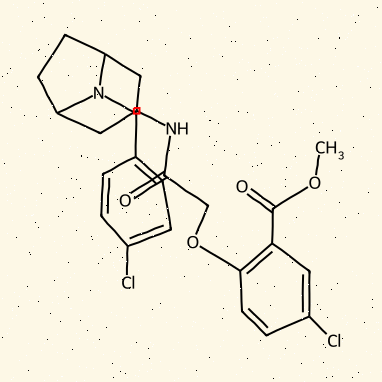 COC(=O)c1cc(Cl)ccc1OCC(=O)NC1CC2CCC(C1)N2Cc1ccc(Cl)cc1